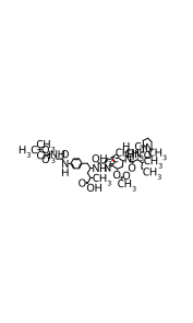 CCC(C)C(NC(=O)[C@@]1(C)CCCN1C)C(=O)N(C)C(CC(OC(C)=O)c1nc(C(=O)NC(Cc2ccc(NC(=O)CNC(=O)OC(C)(C)C)cc2)CC(C)C(=O)O)cs1)C(C)C